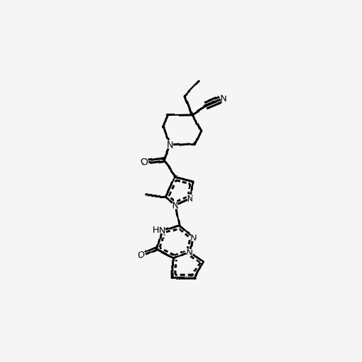 CCC1(C#N)CCN(C(=O)c2cnn(-c3nn4cccc4c(=O)[nH]3)c2C)CC1